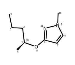 CCC[C@H](C)Oc1ccn(C)n1